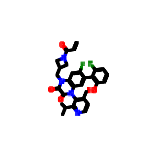 C=CC(=O)N1CC(Cn2c(=O)c(=O)n(-c3c(C)ccnc3C(C)C)c3cc(-c4c(O)cccc4F)c(F)cc32)C1